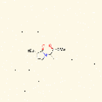 CCCC[C@H]1CCN([C@@H](C)C(=O)OC)C1=O